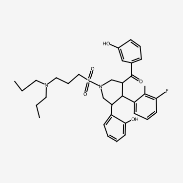 CCCN(CCC)CCCS(=O)(=O)N1CC(C(=O)c2cccc(O)c2)C(c2cccc(F)c2C)C(c2cc[c]cc2O)C1